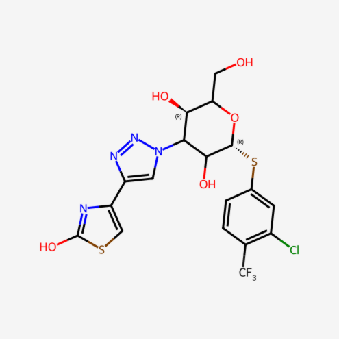 OCC1O[C@H](Sc2ccc(C(F)(F)F)c(Cl)c2)C(O)C(n2cc(-c3csc(O)n3)nn2)[C@H]1O